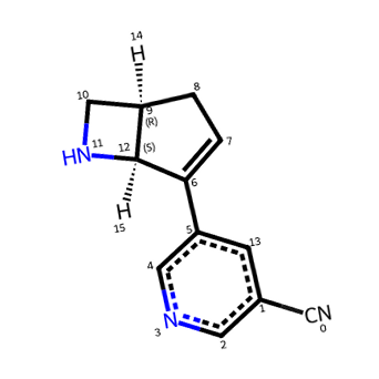 N#Cc1cncc(C2=CC[C@@H]3CN[C@H]23)c1